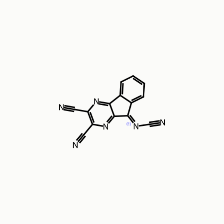 N#C/N=C1\c2ccccc2-c2nc(C#N)c(C#N)nc21